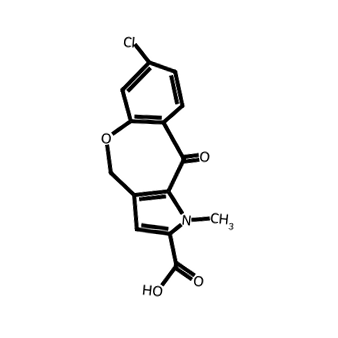 Cn1c(C(=O)O)cc2c1C(=O)c1ccc(Cl)cc1OC2